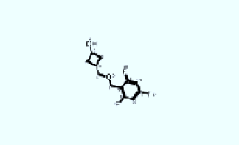 O[C@H]1C[C@@H](COCc2c(F)cc(F)cc2F)C1